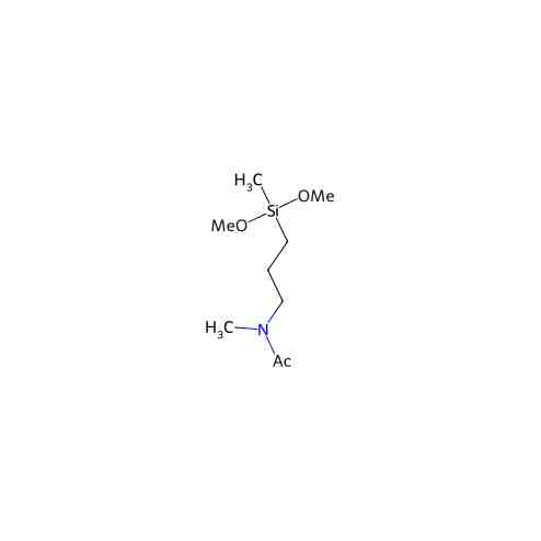 CO[Si](C)(CCCN(C)C(C)=O)OC